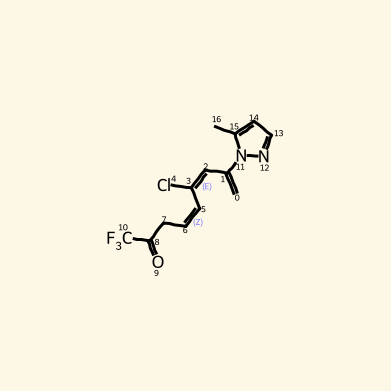 C=C(/C=C(Cl)\C=C/CC(=O)C(F)(F)F)n1nccc1C